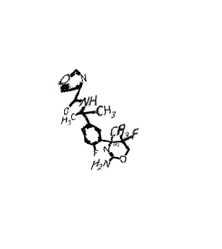 CC(C)(NC(=O)c1cocn1)c1ccc(F)c([C@@]2(C)N=C(N)OCC2(F)F)c1